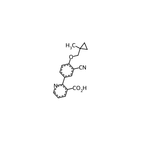 CC1(COc2ccc(-c3ncccc3C(=O)O)cc2C#N)CC1